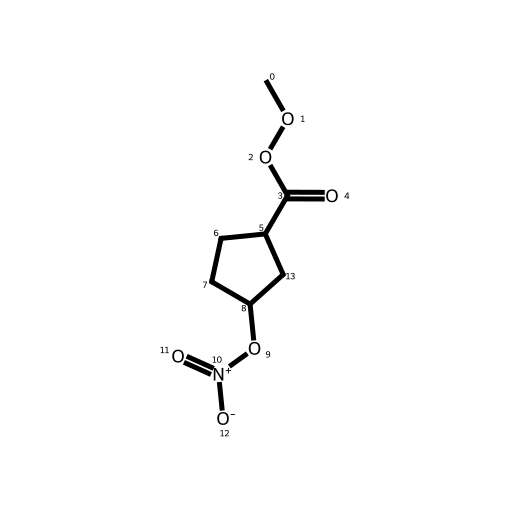 COOC(=O)C1CCC(O[N+](=O)[O-])C1